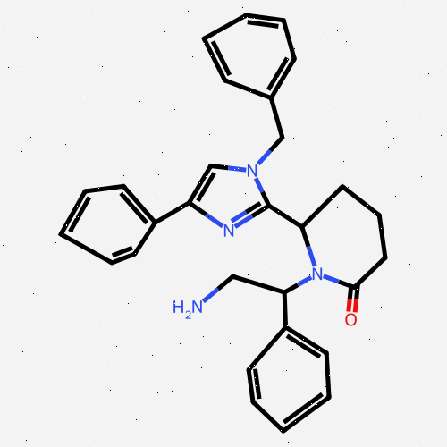 NCC(c1ccccc1)N1C(=O)CCCC1c1nc(-c2ccccc2)cn1Cc1ccccc1